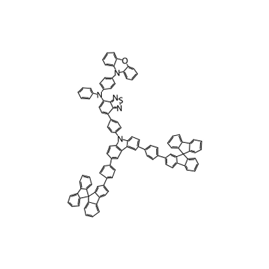 c1ccc(N(c2ccc(N3c4ccccc4Oc4ccccc43)cc2)c2ccc(-c3ccc(-n4c5ccc(-c6ccc(-c7ccc8c(c7)C7(c9ccccc9-c9ccccc97)c7ccccc7-8)cc6)cc5c5cc(-c6ccc(-c7ccc8c(c7)C7(c9ccccc9-c9ccccc97)c7ccccc7-8)cc6)ccc54)cc3)c3nsnc23)cc1